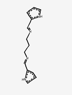 C(=N\CCC/N=C/c1ccc[nH]1)/c1ccc[nH]1